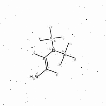 CC([SiH3])=C(C)N([Si](C)(C)C)[Si](C)(C)C